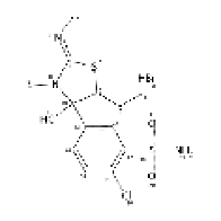 Br.CCC1SC(=NC)N(C)C1(O)c1ccc(Cl)c(S(N)(=O)=O)c1